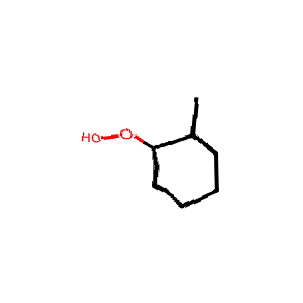 CC1CCCCC1OO